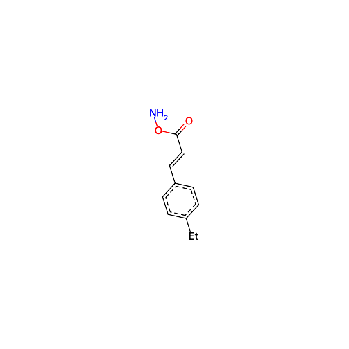 CCc1ccc(C=CC(=O)ON)cc1